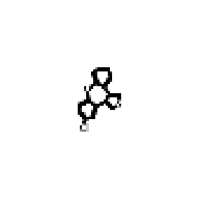 Clc1ccc2c(c1)-c1cscc1-c1ccccc1O2